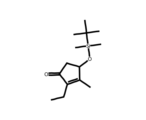 CCC1=C(C)C(O[Si](C)(C)C(C)(C)C)CC1=O